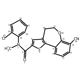 CN(C(=O)c1cc2c(s1)-c1cccc(C#N)c1OCC2)c1ccccc1Cl